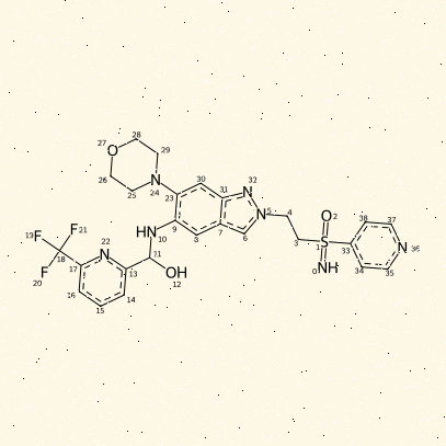 N=S(=O)(CCn1cc2cc(NC(O)c3cccc(C(F)(F)F)n3)c(N3CCOCC3)cc2n1)c1ccncc1